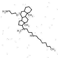 CCCCCCCCNCCC[C@@H](C)C1CCC2C3C(CCC21C)C1(C)CCCCC1C[C@H]3OCCCN